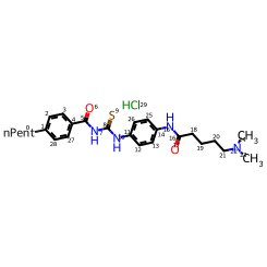 CCCCCc1ccc(C(=O)NC(=S)Nc2ccc(NC(=O)CCCCN(C)C)cc2)cc1.Cl